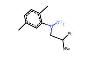 CCCCC(CC)CN(N)c1cc(C)ccc1C